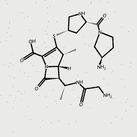 C[C@@H](NC(=O)CN)[C@H]1C(=O)N2C(C(=O)O)=C(S[C@@H]3CN[C@H](C(=O)N4CC[C@@H](N)C4)C3)[C@H](C)[C@H]12